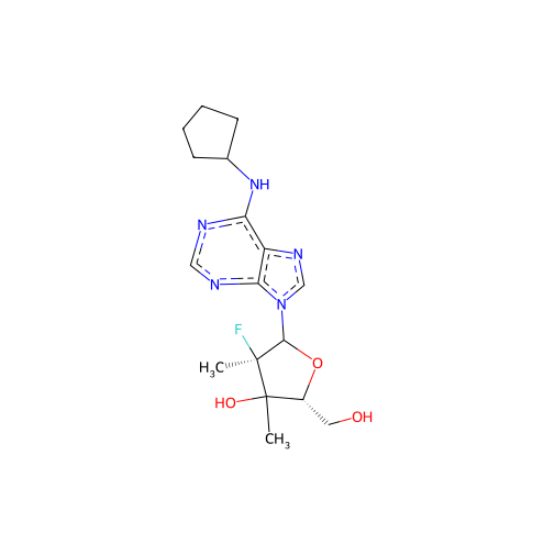 CC1(O)[C@@H](CO)OC(n2cnc3c(NC4CCCC4)ncnc32)[C@]1(C)F